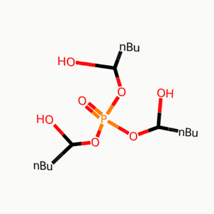 CCCCC(O)OP(=O)(OC(O)CCCC)OC(O)CCCC